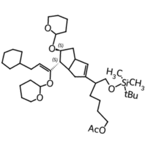 CC(=O)OCCCCC(CO[Si](C)(C)C(C)(C)C)C1=CC2C[C@H](OC3CCCCO3)[C@@H](C(=CCC3CCCCC3)OC3CCCCO3)C2C1